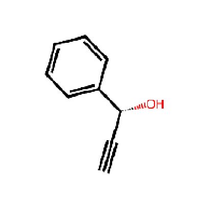 C#C[C@@H](O)c1ccccc1